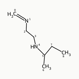 C=NCCNC(C)CC